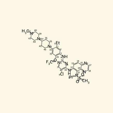 CCc1cc(Nc2ncc(Cl)c(Nc3ccc4nccnc4c3N(C(C)C)S(C)(=O)=O)n2)c(OC(F)(F)F)cc1N1CCC(N2CCN(C)CC2)CC1